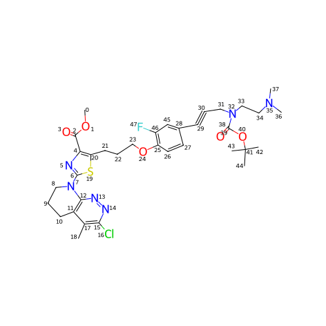 COC(=O)c1nc(N2CCCc3c2nnc(Cl)c3C)sc1CCCOc1ccc(C#CCN(CCN(C)C)C(=O)OC(C)(C)C)cc1F